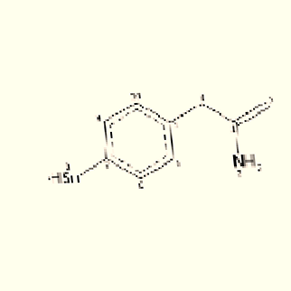 C=C(N)Cc1cc[c]([SnH])cc1